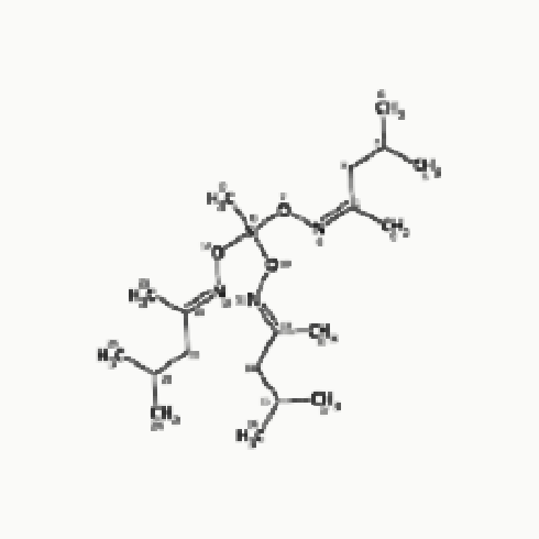 C/C(CC(C)C)=N/O[Si](C)(O/N=C(\C)CC(C)C)O/N=C(\C)CC(C)C